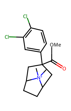 COC(=O)C1(c2ccc(Cl)c(Cl)c2)CC2CCC(C1)[N+]2(C)C